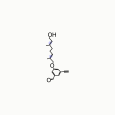 C#Cc1cc(C=O)cc(OC/C(C)=C/CC/C(C)=C/CO)c1